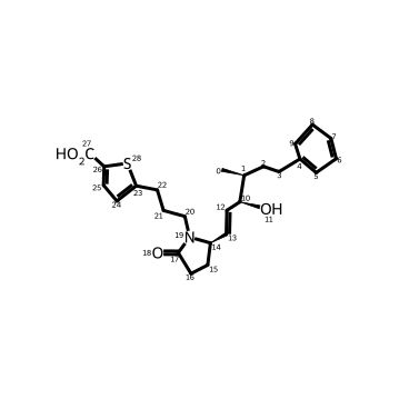 C[C@@H](CCc1ccccc1)[C@@H](O)/C=C/[C@H]1CCC(=O)N1CCCc1ccc(C(=O)O)s1